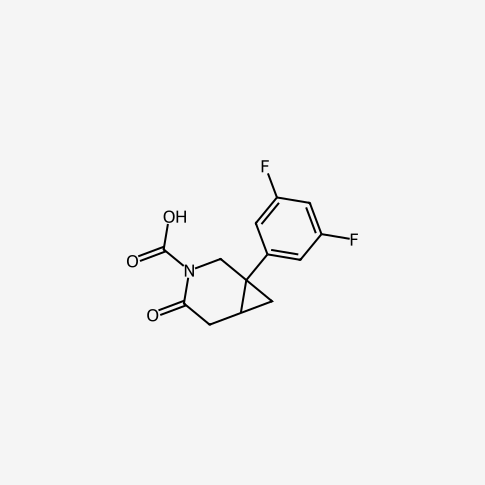 O=C(O)N1CC2(c3cc(F)cc(F)c3)CC2CC1=O